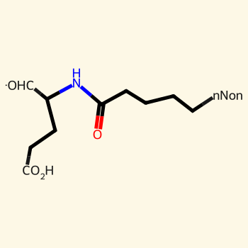 CCCCCCCCCCCCCC(=O)NC([C]=O)CCC(=O)O